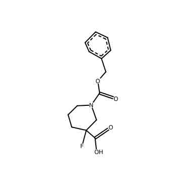 O=C(OCc1ccccc1)N1CCCC(F)(C(=O)O)C1